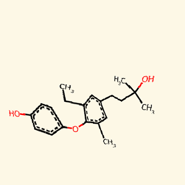 CCc1cc(CCC(C)(C)O)cc(C)c1Oc1ccc(O)cc1